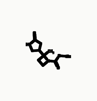 CC(C)(C)OC(=O)N1CCC1(C)C1CNC(=O)C1